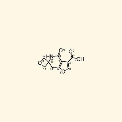 O=C(O)c1coc2c1C(=O)NC1(COC1)C2